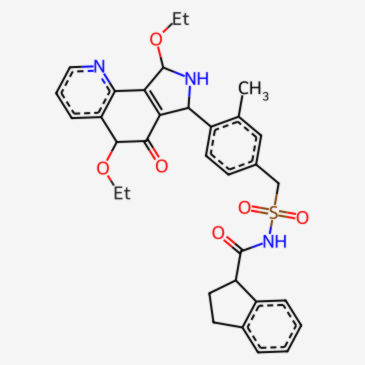 CCOC1NC(c2ccc(CS(=O)(=O)NC(=O)C3CCc4ccccc43)cc2C)C2=C1c1ncccc1C(OCC)C2=O